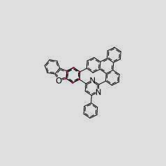 c1ccc(-c2cc(-c3ccccc3)nc(-c3cccc4c5ccccc5c5ccc(-c6ccc7oc8ccccc8c7c6)cc5c34)n2)cc1